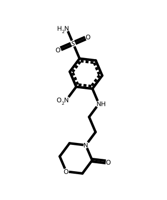 NS(=O)(=O)c1ccc(NCCN2CCOCC2=O)c([N+](=O)[O-])c1